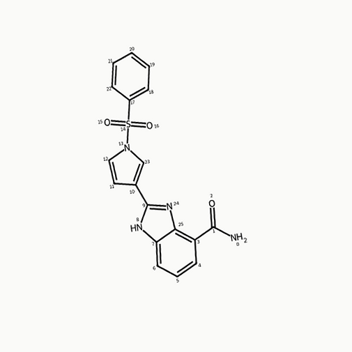 NC(=O)c1cccc2[nH]c(-c3ccn(S(=O)(=O)c4ccccc4)c3)nc12